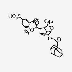 CC(C)c1cc(S(=O)(=O)O)cc(C(C)C)c1OC(=O)C1C2CC3C(OC(O)C31)C2OC1OC1C12CC3CC(CC(C3)C1)C2